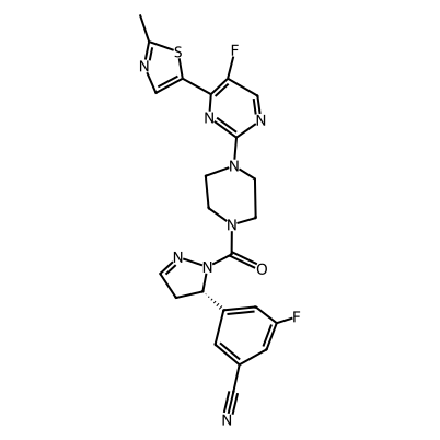 Cc1ncc(-c2nc(N3CCN(C(=O)N4N=CC[C@H]4c4cc(F)cc(C#N)c4)CC3)ncc2F)s1